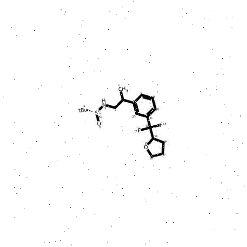 CC(CN[S@+]([O-])C(C)(C)C)c1cccc(C(F)(F)C2CCCO2)c1